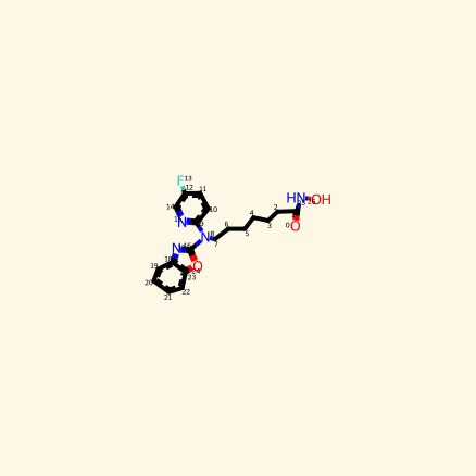 O=C(CCCCCCN(c1ccc(F)cn1)c1nc2ccccc2o1)NO